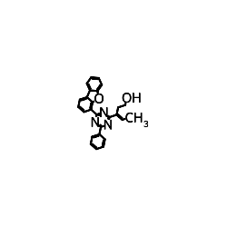 C/C=C(\CCO)c1nc(-c2ccccc2)nc(-c2cccc3c2oc2ccccc23)n1